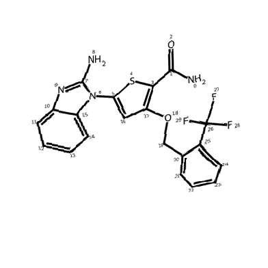 NC(=O)c1sc(-n2c(N)nc3ccccc32)cc1OCc1ccccc1C(F)(F)F